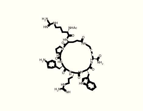 CC(=O)N[C@@H](CCCNC(=N)N)C(=O)N[C@H]1CCC(=O)NCCC[C@@H](C(N)=O)NC(=O)[C@H](Cc2c[nH]c3ccccc23)NC(=O)[C@H](CCCNC(=N)N)NC(=O)[C@@H](Cc2ccc(N)cc2)NC(=O)[C@@H]2CCCN2C1=O